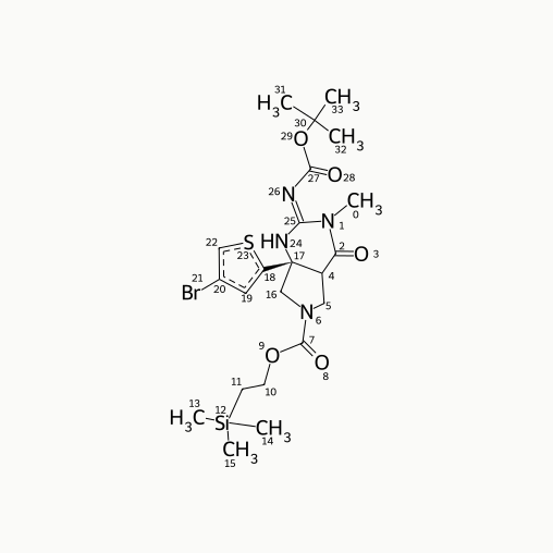 CN1C(=O)C2CN(C(=O)OCC[Si](C)(C)C)C[C@]2(c2cc(Br)cs2)N/C1=N/C(=O)OC(C)(C)C